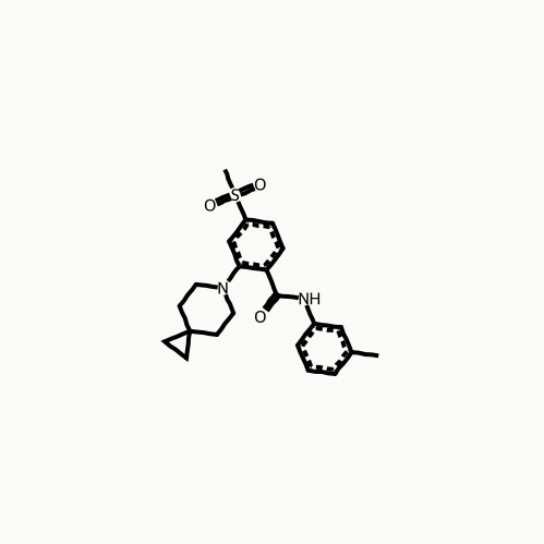 Cc1cccc(NC(=O)c2ccc(S(C)(=O)=O)cc2N2CCC3(CC2)CC3)c1